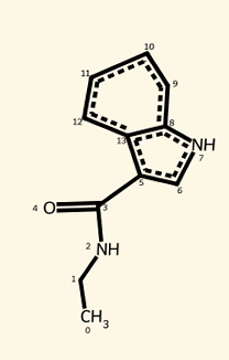 CCNC(=O)c1c[nH]c2ccccc12